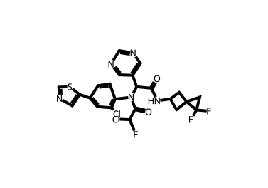 O=C(NC1CC2(C1)CC2(F)F)C(c1cncnc1)N(C(=O)C(F)Cl)c1ccc(-c2cncs2)cc1Cl